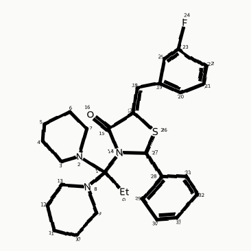 CCC(N1CCCCC1)(N1CCCCC1)N1C(=O)C(=Cc2cccc(F)c2)SC1c1ccccc1